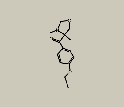 CCOc1ccc(C(=O)C2(C)COCN2C)cc1